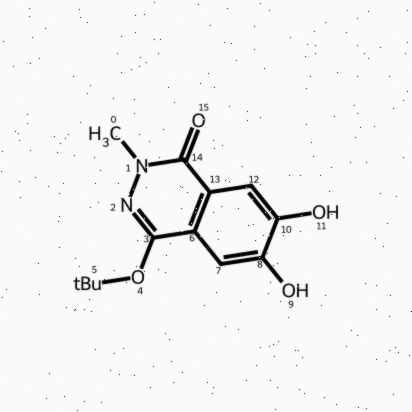 Cn1nc(OC(C)(C)C)c2cc(O)c(O)cc2c1=O